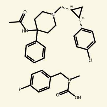 CC(=O)NC1(c2ccccc2)CCN(C[C@@H]2C[C@@H]2c2ccc(Cl)cc2)CC1.CN(Cc1ccc(F)cc1)C(=O)O